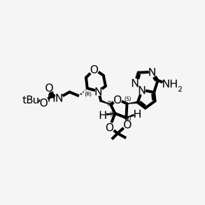 CC(C)(C)OC(=O)NCC[C@@H]1COCCN1C[C@H]1O[C@@H](c2ccc3c(N)ncnn23)[C@@H]2OC(C)(C)O[C@@H]21